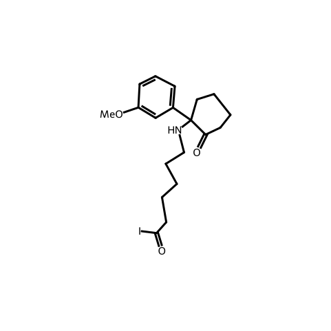 COc1cccc(C2(NCCCCCC(=O)I)CCCCC2=O)c1